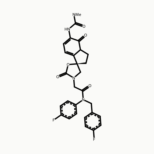 CNC(=O)NC1=CC=C2C(CC[C@]23CN(CC(=O)N(Cc2ccc(F)cc2)c2ccc(F)cc2)C(=O)O3)C1=O